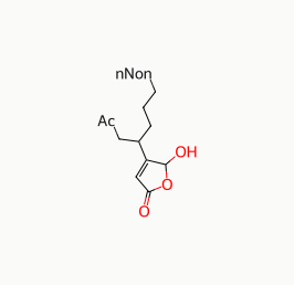 CCCCCCCCCCCCC(CC(C)=O)C1=CC(=O)OC1O